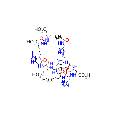 CCCC(=O)NCc1cn(CCCCC(=O)NC(CCC(=O)O)C(=O)NC(Cc2c[nH]cn2)C(=O)NC(CCC(=O)O)C(=O)NC(C=O)(CNC(CCC(=O)O)C(=O)NC(Cc2c[nH]cn2)C(=O)NCCCCC(NC(=O)NC(CCC(=O)O)C(=O)O)C(=O)O)Cc2c[nH]cn2)nn1